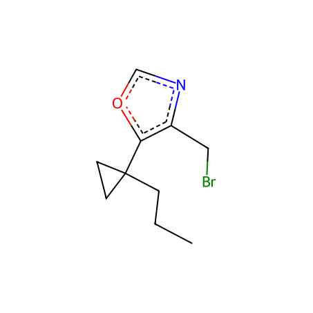 CCCC1(c2ocnc2CBr)CC1